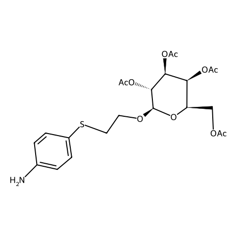 CC(=O)OC[C@H]1O[C@@H](OCCSc2ccc(N)cc2)[C@H](OC(C)=O)[C@@H](OC(C)=O)[C@H]1OC(C)=O